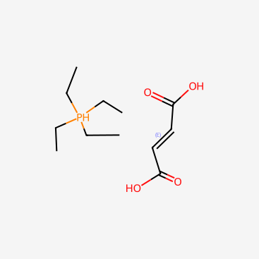 CC[PH](CC)(CC)CC.O=C(O)/C=C/C(=O)O